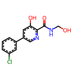 O=C(NCO)c1ncc(-c2cccc(Cl)c2)cc1O